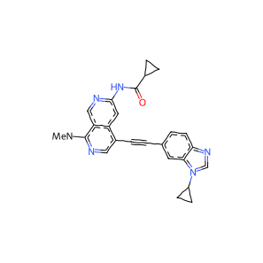 CNc1ncc(C#Cc2ccc3ncn(C4CC4)c3c2)c2cc(NC(=O)C3CC3)ncc12